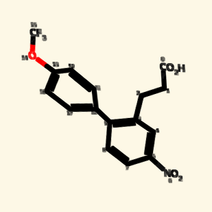 O=C(O)CCc1cc([N+](=O)[O-])ccc1-c1ccc(OC(F)(F)F)cc1